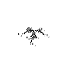 CCCCO[Si](C)(C)CCC[Si](CCCBr)(CCC[Si](C)(C)OCCCC)CCC[Si](C)(C)OCCCC